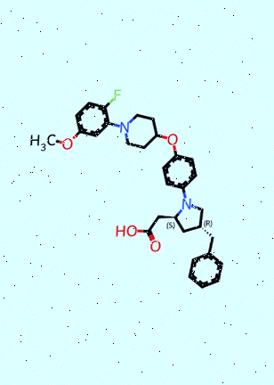 COc1ccc(F)c(N2CCC(Oc3ccc(N4C[C@H](Cc5ccccc5)C[C@H]4CC(=O)O)cc3)CC2)c1